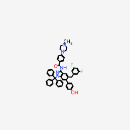 CN1CCN(c2ccc(C(=O)Nc3nn(C(c4ccccc4)(c4ccccc4)c4ccccc4)c4cc(-c5ccc(O)cc5)c(Cc5cc(F)cc(F)c5)cc34)cc2)CC1